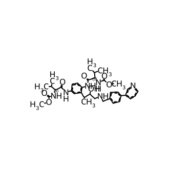 COC(=O)N[C@H](C(=O)Nc1ccc(NC(=O)[C@@H](NC(=O)OC)C(C)C)c(C(C)C(O)CNCc2ccc(-c3cccnc3)cc2)c1)C(C)C